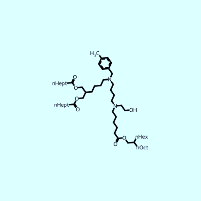 CCCCCCCCC(CCCCCC)COC(=O)CCCCCN(CCO)CCCCN(CCCCC(COC(=O)CCCCCCC)COC(=O)CCCCCCC)Cc1ccc(C)cc1